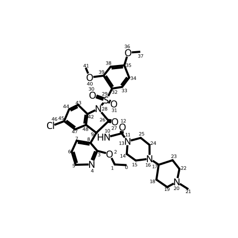 CCOc1ncccc1C1(NC(=O)N2CCN(C3CCN(C)CC3)CC2)C(=O)N(S(=O)(=O)c2ccc(OC)cc2OC)c2ccc(Cl)cc21